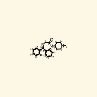 CN1CCC(N2C(=O)CN=C(c3ccccc3)c3ccccc32)CC1